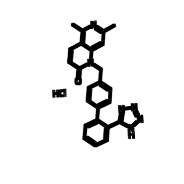 Cc1cc2c(ccc(=O)n2Cc2ccc(-c3ccccc3-c3nnn[nH]3)cc2)c(C)n1.Cl